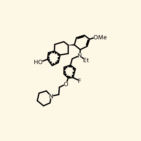 CCN(Cc1ccc(OCCN2CCCCC2)c(F)c1)C1C=C(OC)C=CC1[C@@H]1CCc2cc(O)ccc2C1